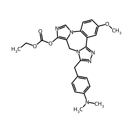 CCOC(=O)Oc1ncn2c1Cn1c(Cc3ccc(N(C)C)cc3)nnc1-c1cc(OC)ccc1-2